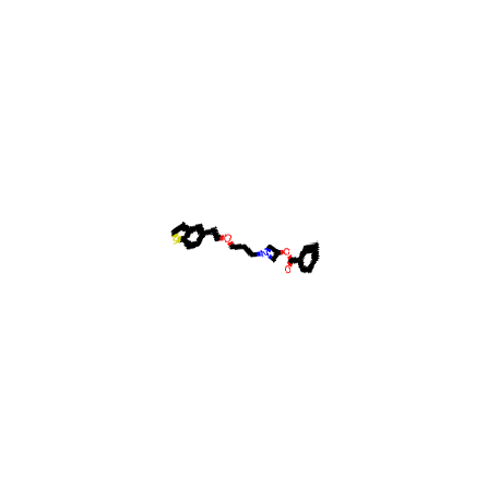 O=C(OC1CN(CCCOCCc2ccc3sccc3c2)C1)c1ccccc1